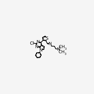 CN(C)CCCN=Cc1sccc1-c1nc(Cl)nc2c1ccn2-c1ccccc1